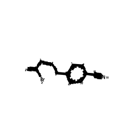 C=C(Br)/C=C\Cc1ccc(C#N)cc1